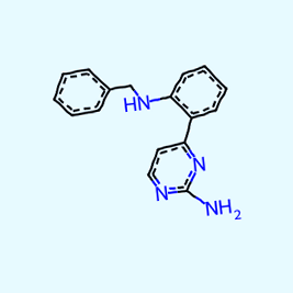 Nc1nccc(-c2ccccc2NCc2ccccc2)n1